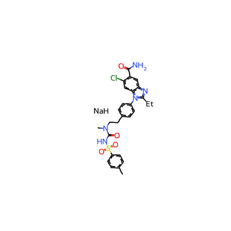 CCc1nc2cc(C(N)=O)c(Cl)cc2n1-c1ccc(CCN(C)C(=O)NS(=O)(=O)c2ccc(C)cc2)cc1.[NaH]